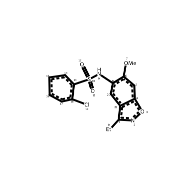 CCc1noc2cc(OC)c(NS(=O)(=O)c3ccccc3Cl)cc12